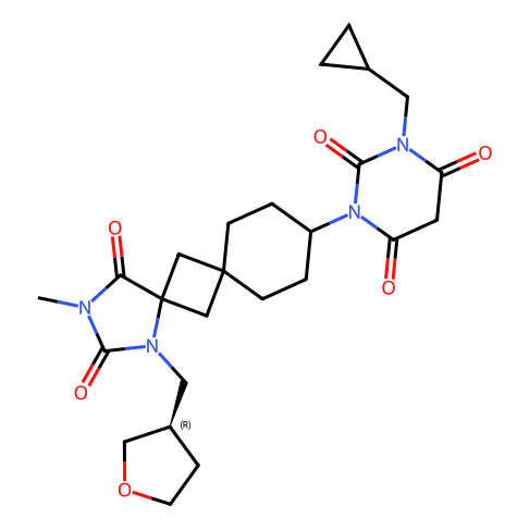 CN1C(=O)N(C[C@H]2CCOC2)C2(CC3(CCC(N4C(=O)CC(=O)N(CC5CC5)C4=O)CC3)C2)C1=O